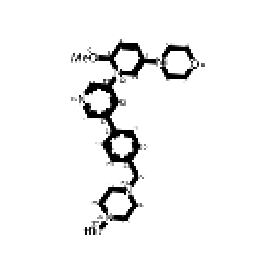 COC1C=CC(N2CCOCC2)=CN1c1cncc(-c2ccc(CN3CCN(C(C)(C)C)CC3)cc2)c1